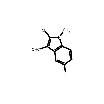 Cn1c(Cl)c(C=O)c2cc(Cl)ccc21